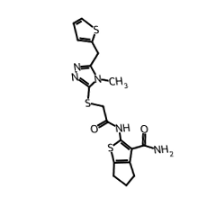 Cn1c(Cc2cccs2)nnc1SCC(=O)Nc1sc2c(c1C(N)=O)CCC2